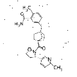 Cc1ccc([C@@H]2CCON2C(=O)C23CCC(Cc4ccc(C)c(C(N)=O)c4)(CC2)C3)cn1